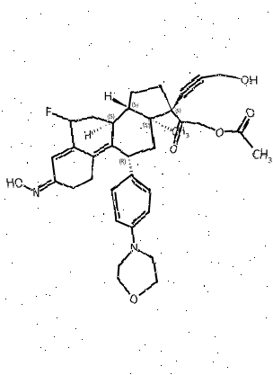 CC(=O)OCC(=O)[C@@]1(C#CCO)CC[C@H]2[C@@H]3CC(F)C4=CC(=NO)CCC4=C3[C@@H](c3ccc(N4CCOCC4)cc3)C[C@@]21C